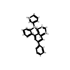 c1ccc(-c2cc3c4c(ncnc4c2)N(c2cccnc2)c2ccccc2-3)cc1